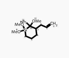 C=CCC1CCC[Si](OC)(OC)C1(CCC)OC